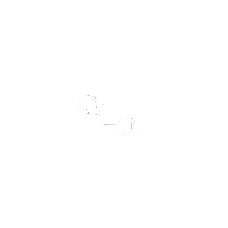 Cc1ncc(CN2C[C@H]3C[C@@H]2CN3)[nH]1